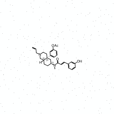 C=CCN1CC[C@@]2(c3cccc(OC(C)=O)c3)C[C@@H](N(C)C(=O)C=Cc3cccc(O)c3)CC[C@@H]2C1